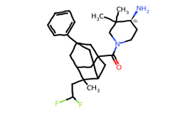 CC1(CC(F)F)C2CC3(C(=O)N4CC[C@H](N)C(C)(C)C4)CC1CC(c1ccccc1)(C2)C3